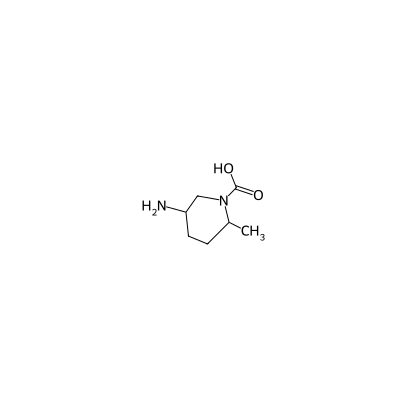 CC1CCC(N)CN1C(=O)O